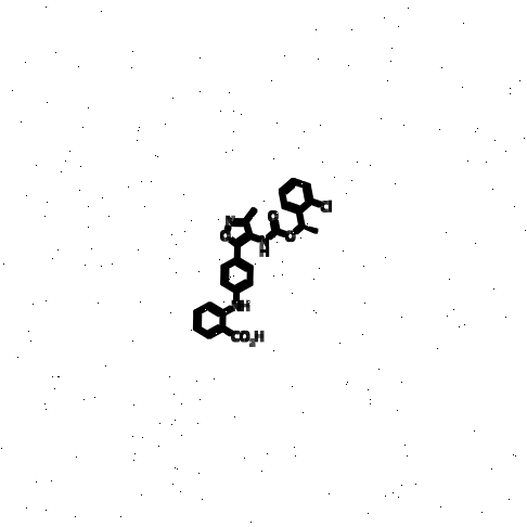 Cc1noc(-c2ccc(Nc3ccccc3C(=O)O)cc2)c1NC(=O)O[C@H](C)c1ccccc1Cl